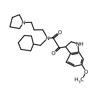 COc1ccc2c(c1)NCC2C(=O)C(=O)N(CCCN1CCCC1)CC1CCCCC1